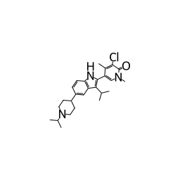 Cc1c(-c2[nH]c3ccc(C4CCN(C(C)C)CC4)cc3c2C(C)C)cn(C)c(=O)c1Cl